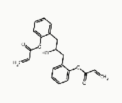 C=CC(=O)Oc1ccccc1CC(O)Cc1ccccc1OC(=O)C=C